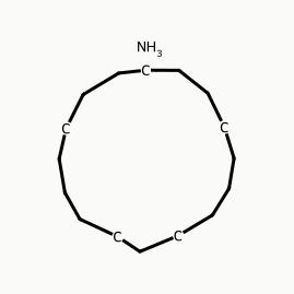 C1CCCCCCCCCCCCCCC1.N